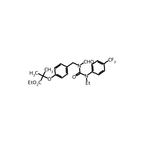 CCOC(=O)C(C)(C)Oc1ccc(CN(C=O)C(=O)N(CC)c2ccc(C(F)(F)F)cc2)cc1